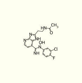 CC(=O)NCCc1nc2nccc(C(=N)N(O)c3ccc(F)c(Cl)c3)c2[nH]1